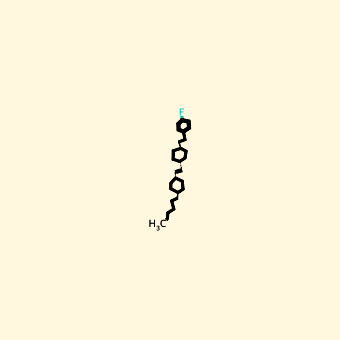 CCCCCC[C@H]1CC[C@H](C=C[C@H]2CC[C@H](CCc3ccc(F)cc3)CC2)CC1